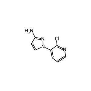 Nc1ccn(-c2cccnc2Cl)n1